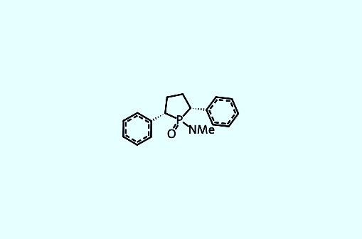 CNP1(=O)[C@@H](c2ccccc2)CC[C@H]1c1ccccc1